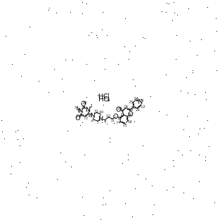 Cl.Cl.Cn1c(N2CCN(CCCOc3cccc4oc(-c5ccncc5)cc(=O)c34)CC2)cc(=O)n(C)c1=O